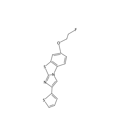 FCCOc1ccc2c(c1)sc1nc(-c3cccs3)cn12